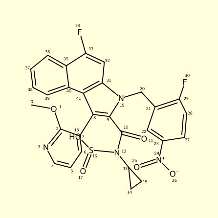 COc1ncccc1-c1c(C(=O)N(C2CC2)S(=O)O)n(Cc2cc([N+](=O)[O-])ccc2F)c2cc(F)c3ccccc3c12